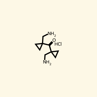 Cl.NCC1(C(=O)C2(CN)CC2)CC1